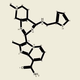 Cc1nc2c(C(N)=O)cccn2c1-c1nc2c(c(NCc3cccs3)n1)CCN(C)C2